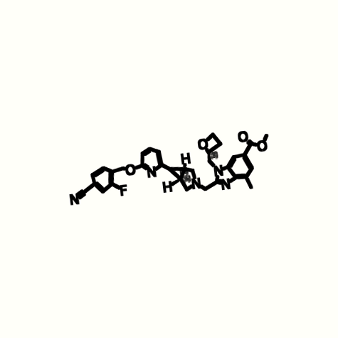 COC(=O)c1cc(C)c2nc(CN3C[C@@H]4C(c5cccc(OCc6ccc(C#N)cc6F)n5)[C@@H]4C3)n(C[C@@H]3CCO3)c2c1